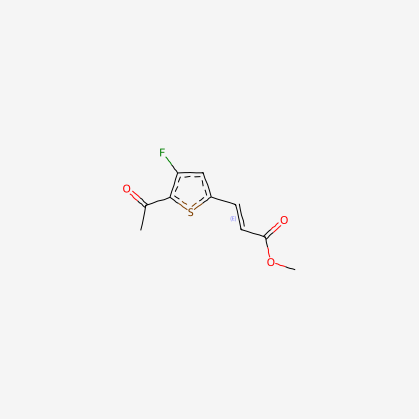 COC(=O)/C=C/c1cc(F)c(C(C)=O)s1